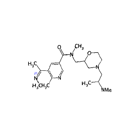 C/N=C(/C)c1cc(C(=O)N(C)CC2CN(CC(C)NC)CCO2)cnc1C